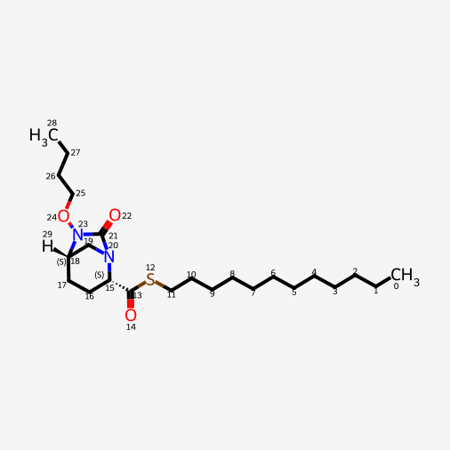 CCCCCCCCCCCCSC(=O)[C@@H]1CC[C@H]2CN1C(=O)N2OCCCC